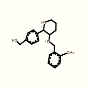 COc1ccccc1CNC1CCCNC1c1ccc(CO)cc1